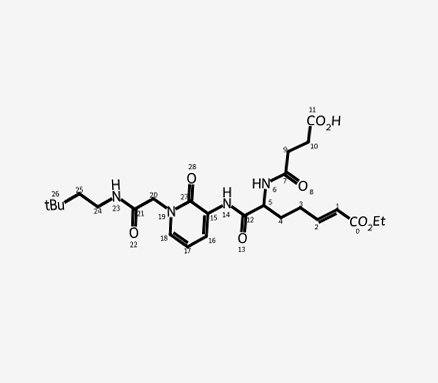 CCOC(=O)C=CCCC(NC(=O)CCC(=O)O)C(=O)Nc1cccn(CC(=O)NCCC(C)(C)C)c1=O